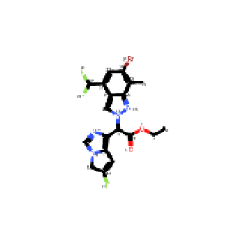 CCOC(=O)C(c1ncn2c1C=C(F)C2)n1cc2c(C(F)F)cc(Br)c(C)c2n1